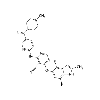 Cc1cc2c(F)c(Oc3ncnc(Nc4ccc(C(=O)N5CCN(C)CC5)cn4)c3C#N)cc(F)c2[nH]1